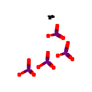 O=P(=O)[O-].O=P(=O)[O-].O=P(=O)[O-].O=P(=O)[O-].[Ti+4]